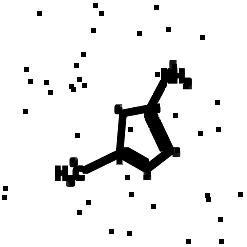 CC1=CC=C(N)C1